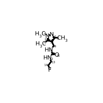 Cc1nn(C)c(C)c1CNC(=O)NCCF